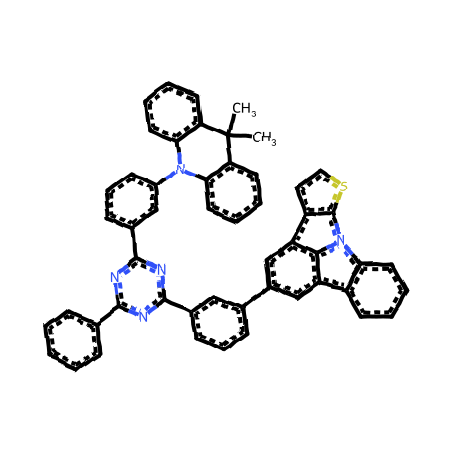 CC1(C)c2ccccc2N(c2cccc(-c3nc(-c4ccccc4)nc(-c4cccc(-c5cc6c7ccccc7n7c8sccc8c(c5)c67)c4)n3)c2)c2ccccc21